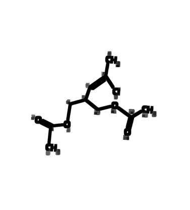 CC(=O)OCC(C=C(C)Cl)COC(C)=O